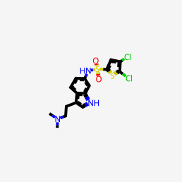 CN(C)CCc1c[nH]c2cc(NS(=O)(=O)c3cc(Cl)c(Cl)s3)ccc12